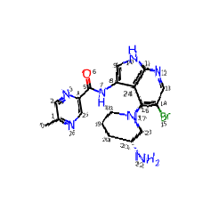 Cc1cnc(C(=O)Nc2c[nH]c3ncc(Br)c(N4CCC[C@@H](N)C4)c23)cn1